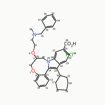 CN(CCO[C@@H]1COc2ccccc2-c2c(C3CCCCC3)c3ccc(C(=O)O)cc3n2C1)Cc1ccccc1.Cl